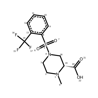 CN1CCN(S(=O)(=O)c2ccccc2C(F)(F)F)C[C@@H]1C(=O)O